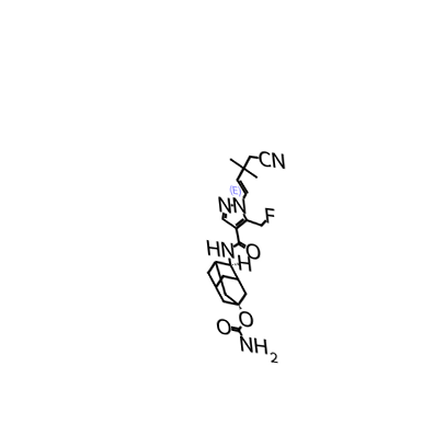 CC(C)(/C=C/n1ncc(C(=O)N[C@H]2C3CC4CC2C[C@](OC(N)=O)(C4)C3)c1CF)CC#N